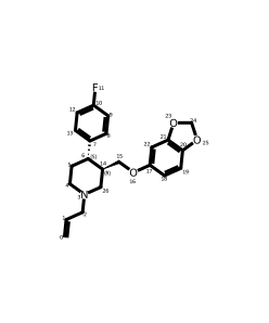 C=CCN1CC[C@H](c2ccc(F)cc2)[C@@H](COc2ccc3c(c2)OCO3)C1